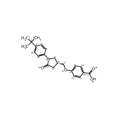 CC(C)(C)c1ccc(N2C[C@@H](COc3ccc(C(=O)O)cc3)CC2=O)cc1